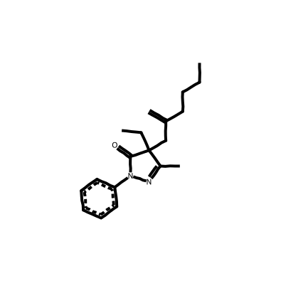 C=C(CCCC)CC1(CC)C(=O)N(c2ccccc2)N=C1C